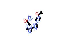 NC(=O)c1cn2c(-c3nccc(N4CCN(C(=O)C5CC5)CC4)n3)cnc2cn1